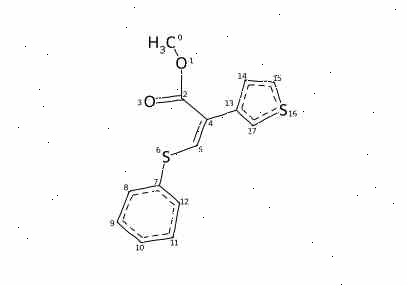 COC(=O)/C(=C\Sc1ccccc1)c1ccsc1